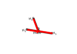 CCCCCCCCCCCCCCCCCC(=O)OCC(COC(=O)CCCCCCCCCCCCCCCCC)C(CCCCCCCCCCCCCCCC)C(=O)O